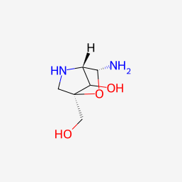 N[C@@H]1O[C@@]2(CO)CN[C@H]1C2O